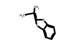 CC(C)=C1Sc2ccccc2S1